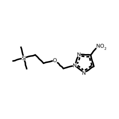 C[Si](C)(C)CCOCn1ncc([N+](=O)[O-])n1